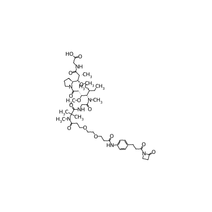 CC[C@H](C)[C@@H]([C@@H](CC(=O)N1CCC[C@H]1[C@H](OC)[C@@H](C)C(=O)NCC(=O)O)OC)N(C)C(=O)CNC(=O)C(C)(C)N(C)C(=O)CCOCCOCCC(=O)Nc1ccc(CCC(=O)N2CCC2=O)cc1